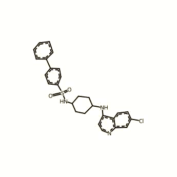 O=S(=O)(NC1CCC(Nc2ccnc3cc(Cl)ccc23)CC1)c1ccc(-c2ccccc2)cc1